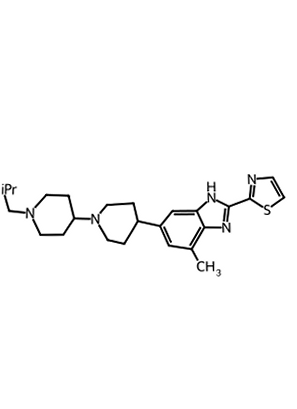 Cc1cc(C2CCN(C3CCN(CC(C)C)CC3)CC2)cc2[nH]c(-c3nccs3)nc12